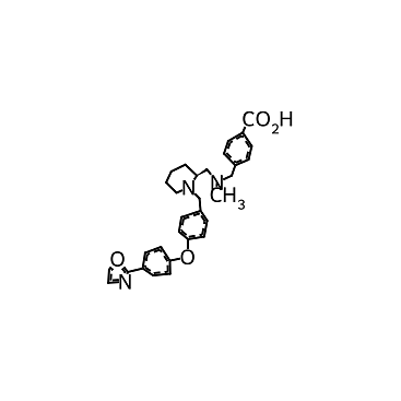 CN(Cc1ccc(C(=O)O)cc1)C[C@@H]1CCCCN1Cc1ccc(Oc2ccc(-c3ncco3)cc2)cc1